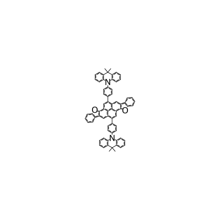 CC1(C)c2ccccc2N(c2ccc(-c3cc4c5oc6ccccc6c5cc5c(-c6ccc(N7c8ccccc8C(C)(C)c8ccccc87)cc6)cc6c7oc8ccccc8c7cc3c6c54)cc2)c2ccccc21